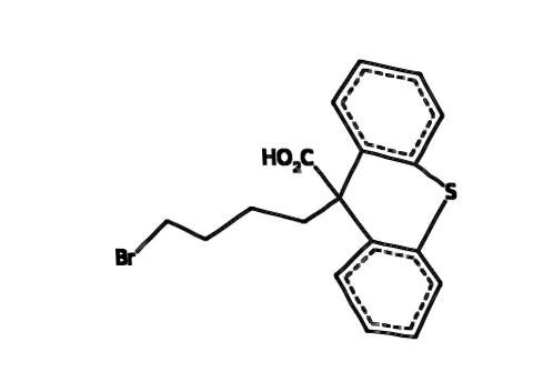 O=C(O)C1(CCCCBr)c2ccccc2Sc2ccccc21